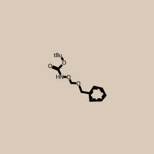 CC(C)(C)OC(=O)NOCOCc1ccccc1